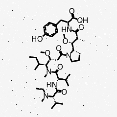 CCC(C)[C@@H]([C@@H](CC(=O)N1CCC[C@H]1[C@H](OC)[C@@H](C)C(=O)NC(Cc1ccc(O)cc1)C(=O)O)OC)N(C)C(=O)[C@@H](NC(=O)[C@H](C(C)C)N(C)CC)C(C)C